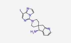 N[C@@H]1c2cccnc2CC12CCN(c1ncc(I)c3nccn13)CC2